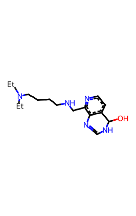 CCN(CC)CCCCNCc1nccc2c1N=CNC2O